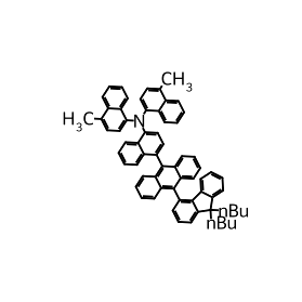 CCCCC1(CCCC)c2ccccc2-c2c(-c3c4ccccc4c(-c4ccc(N(c5ccc(C)c6ccccc56)c5ccc(C)c6ccccc56)c5ccccc45)c4ccccc34)cccc21